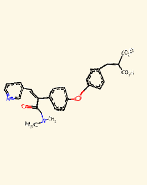 CCOC(=O)C(Cc1ccc(Oc2ccc(C(=Cc3cccnc3)C(=O)N(C)C)cc2)cc1)C(=O)O